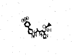 CC(c1cc(NC(=O)C2CC2)c2nccn2n1)c1nnc2ccc(-c3ccc(S(C)(=O)=O)cc3)cn12